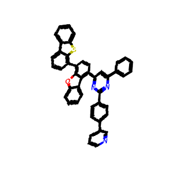 c1ccc(-c2cc(-c3ccc(-c4cccc5c4sc4ccccc45)c4oc5ccccc5c34)nc(-c3ccc(-c4cccnc4)cc3)n2)cc1